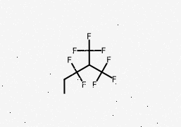 CCC(F)(F)C(C(F)(F)F)C(F)(F)F